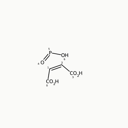 O=C(O)/C=C\C(=O)O.O=PO